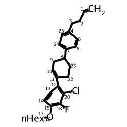 C=CCCc1ccc(C2CC=C(c3ccc(OCCCCCC)c(F)c3Cl)CC2)cc1